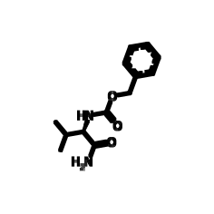 CC(C)[C@@H](NC(=O)OCc1ccccc1)C(N)=O